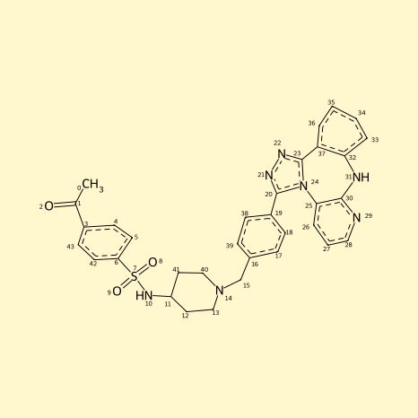 CC(=O)c1ccc(S(=O)(=O)NC2CCN(Cc3ccc(-c4nnc5n4-c4cccnc4Nc4ccccc4-5)cc3)CC2)cc1